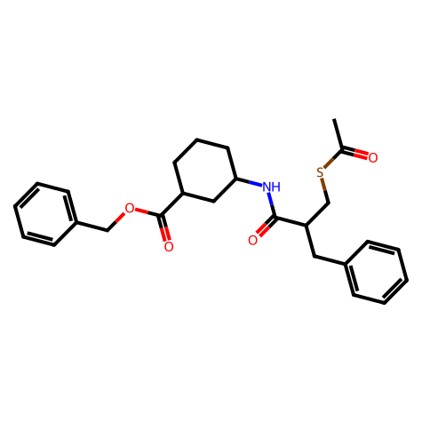 CC(=O)SCC(Cc1ccccc1)C(=O)NC1CCCC(C(=O)OCc2ccccc2)C1